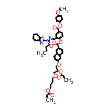 C=CC(=O)OCCCCOCC(COc1ccc2cc(C(=O)Oc3ccc(C(=O)Oc4ccc(OC)cc4)cc3/C=N/N(C(=O)CCC)c3nc4ccccc4s3)ccc2c1)OC(=O)C=C